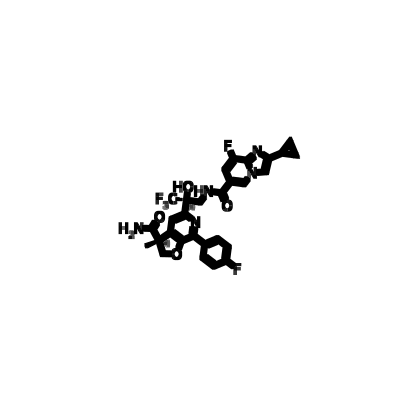 C[C@]1(C(N)=O)COc2c1cc([C@@](O)(CNC(=O)c1cc(F)c3nc(C4CC4)cn3c1)C(F)(F)F)nc2-c1ccc(F)cc1